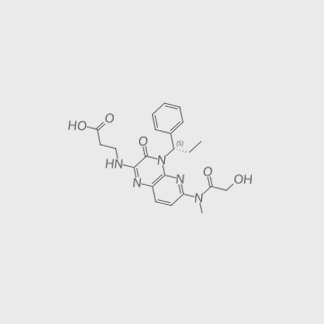 CC[C@@H](c1ccccc1)n1c(=O)c(NCCC(=O)O)nc2ccc(N(C)C(=O)CO)nc21